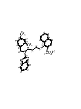 O=C(O)c1ccc2ccccc2c1OCCCN(Cc1ccc(C(F)(F)F)cc1C(F)(F)F)c1nc2ccccc2o1